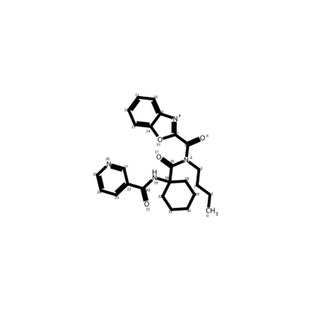 CCCCN(C(=O)c1nc2ccccc2o1)C(=O)C1(NC(=O)c2cccnc2)CCCCC1